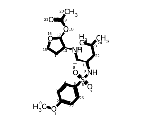 COc1ccc(S(=O)(=O)N[C@@H](CN[C@H]2CCO[C@H]2OC(C)=O)CC(C)C)cc1